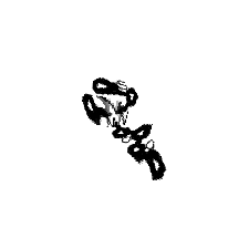 c1ccc(-c2nc(-c3ccc4oc5c(-c6cccc7c6oc6ccccc67)cccc5c4c3)nc(-c3cccc4sc5ccccc5c34)n2)cc1